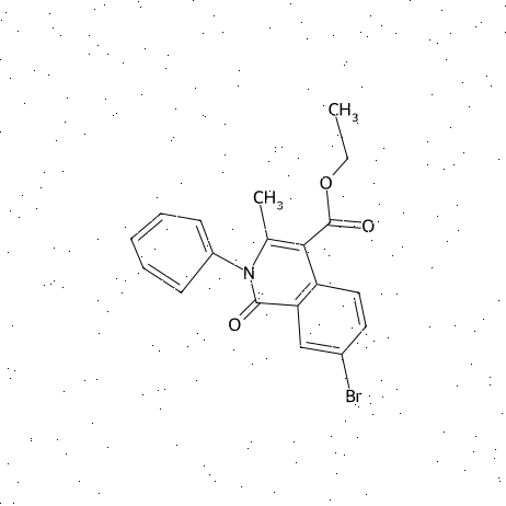 CCOC(=O)c1c(C)n(-c2ccccc2)c(=O)c2cc(Br)ccc12